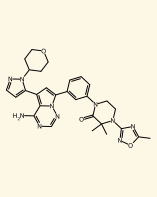 Cc1nc(N2CCN(c3cccc(-c4cc(-c5ccnn5C5CCOCC5)c5c(N)ncnn45)c3)C(=O)C2(C)C)no1